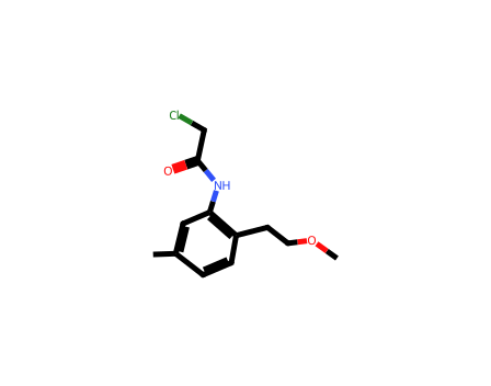 COCCc1ccc(C)cc1NC(=O)CCl